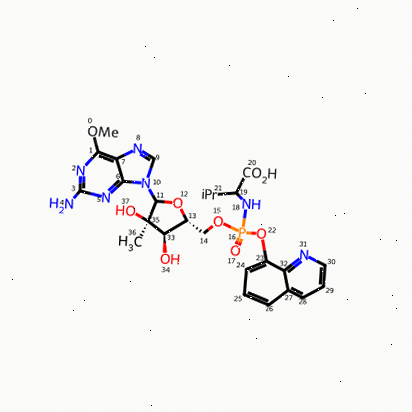 COc1nc(N)nc2c1ncn2C1O[C@H](COP(=O)(NC(C(=O)O)C(C)C)Oc2cccc3cccnc23)[C@@H](O)[C@@]1(C)O